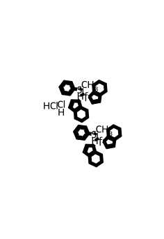 C[Si](c1ccccc1)=[Hf]([CH]1C=CC2=C1CCCC2)[CH]1C=CC2=C1CCCC2.C[Si](c1ccccc1)=[Hf]([CH]1C=CC2=C1CCCC2)[CH]1C=CC2=C1CCCC2.Cl.Cl